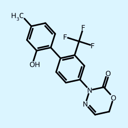 Cc1ccc(-c2ccc(N3N=CCOC3=O)cc2C(F)(F)F)c(O)c1